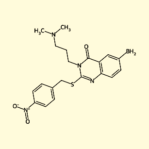 Bc1ccc2nc(SCc3ccc([N+](=O)[O-])cc3)n(CCCN(C)C)c(=O)c2c1